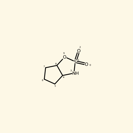 O=S1(=O)NC2CCCC2O1